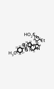 CCC1CN(C(=O)O)CC1c1cnc2cnc3c(ccn3S(=O)(=O)c3ccc(C)cc3)n12